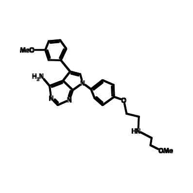 COCCNCCOc1ccc(-n2cc(-c3cccc(OC)c3)c3c(N)ncnc32)cc1